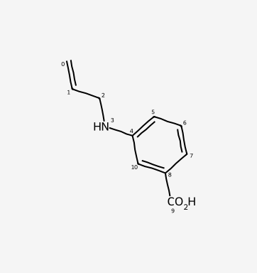 C=CCNc1cccc(C(=O)O)c1